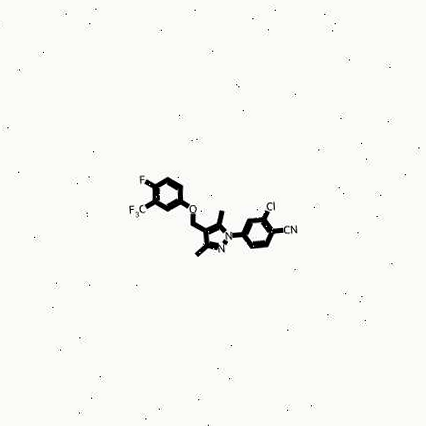 Cc1nn(-c2ccc(C#N)c(Cl)c2)c(C)c1COc1ccc(F)c(C(F)(F)F)c1